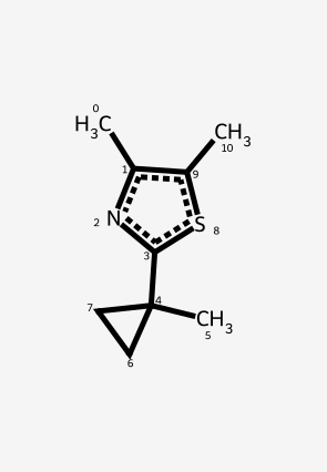 Cc1nc(C2(C)CC2)sc1C